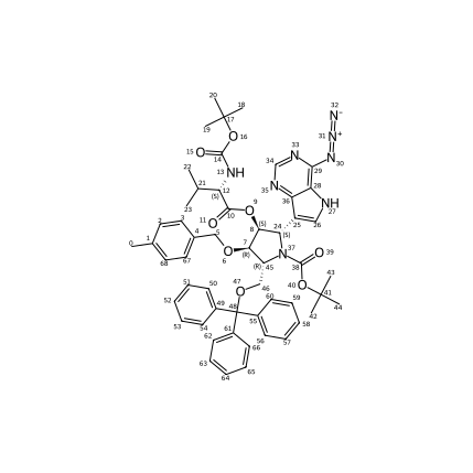 Cc1ccc(CO[C@H]2[C@@H](OC(=O)[C@@H](NC(=O)OC(C)(C)C)C(C)C)[C@H](c3c[nH]c4c(N=[N+]=[N-])ncnc34)N(C(=O)OC(C)(C)C)[C@@H]2COC(c2ccccc2)(c2ccccc2)c2ccccc2)cc1